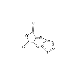 O=C1OC(=O)c2nc3ccsc3cc21